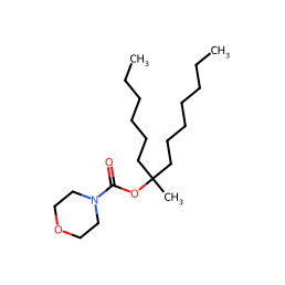 CCCCCCCC(C)(CCCCCC)OC(=O)N1CCOCC1